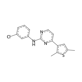 Cc1cc(-c2ccnc(Nc3cccc(Cl)c3)n2)c(C)s1